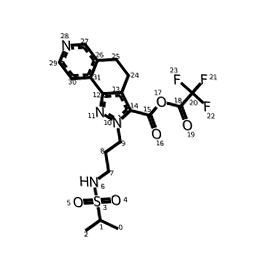 CC(C)S(=O)(=O)NCCCn1nc2c(c1C(=O)OC(=O)C(F)(F)F)CCc1cnccc1-2